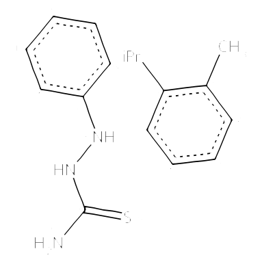 Cc1ccccc1C(C)C.NC(=S)NNc1ccccc1